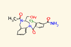 CC(=O)N1Cc2ccccc2N(C(=O)c2ccc(C(N)=O)cc2Cl)CC1CO